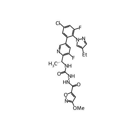 CCc1cnn(-c2c(F)cc(Cl)cc2-c2cnc([C@@H](C)NC(=O)NNC(=O)c3cc(OC)no3)c(F)c2)c1